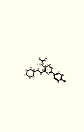 CC(=O)Nc1ncc(-c2ccc(F)cc2)nc1CCC1CCCCC1